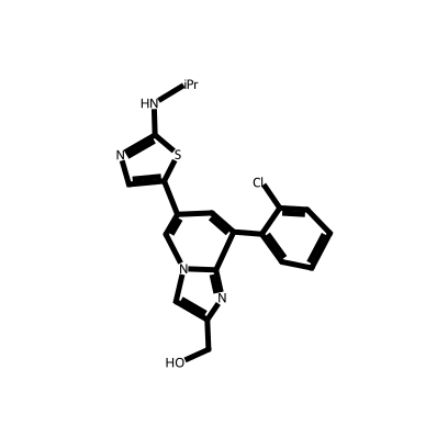 CC(C)Nc1ncc(-c2cc(-c3ccccc3Cl)c3nc(CO)cn3c2)s1